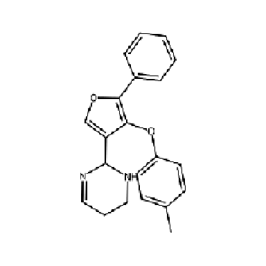 Cc1ccc(Oc2c(C3N=CCCN3)coc2-c2ccccc2)cc1